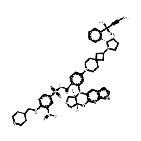 CC#CC(C)(C)c1ccccc1[C@@H]1CCCN1C1CC2(CCN(c3ccc(C(=O)NS(=O)(=O)c4ccc(NCC5CCOCC5)c([N+](=O)[O-])c4)c(N4c5cc6cc[nH]c6nc5O[C@@H]5COC[C@H]54)c3)CC2)C1